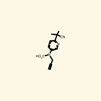 C#CCN(C(=O)O)c1ccc(C(C)(C)C#N)nc1